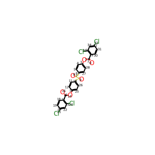 O=C(Oc1ccc(S(=O)(=O)c2ccc(OC(=O)c3ccc(Cl)cc3Cl)cc2)cc1)c1ccc(Cl)cc1Cl